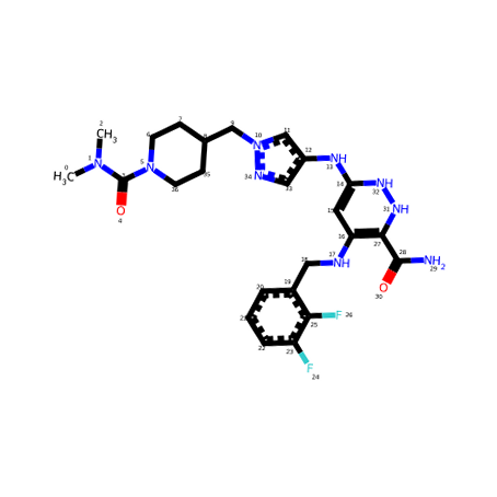 CN(C)C(=O)N1CCC(Cn2cc(NC3=CC(NCc4cccc(F)c4F)=C(C(N)=O)NN3)cn2)CC1